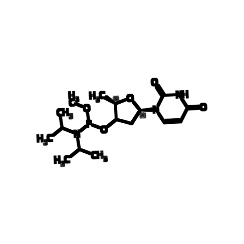 COP(OC1C[C@H](n2ccc(=O)[nH]c2=O)O[C@@H]1C)N(C(C)C)C(C)C